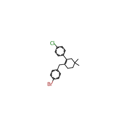 CC1(C)CCC(Cc2ccc(Br)cc2)=C(c2ccc(Cl)cc2)C1